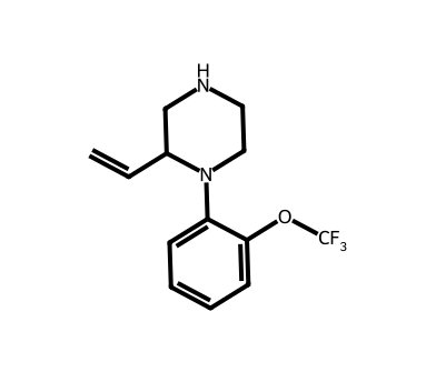 C=CC1CNCCN1c1ccccc1OC(F)(F)F